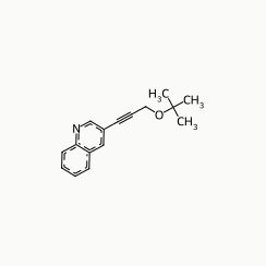 CC(C)(C)OCC#Cc1cnc2ccccc2c1